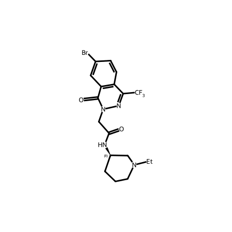 CCN1CCC[C@@H](NC(=O)Cn2nc(C(F)(F)F)c3ccc(Br)cc3c2=O)C1